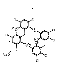 COC.COc1c(Cl)cc(Cl)c(Cl)c1Cc1c(Cl)c(Cl)cc(Cl)c1OC.Oc1c(Cl)cc(Cl)c(Cl)c1Cc1c(O)c(Cl)cc(Cl)c1Cl